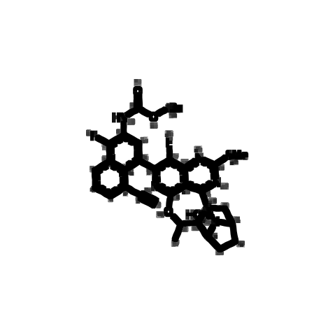 C#Cc1cccc2c(F)c(NC(=O)OC(C)(C)C)cc(-c3nc4c5c(nc(SC)nc5c3F)N3CC5CCC(C3C(C)O4)N5C(=O)O)c12